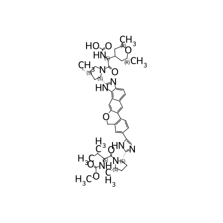 CC[C@H]1C[C@@H](c2nc3ccc4cc5c(cc4c3[nH]2)OCc2cc(-c3cnc([C@@H]4CC[C@H](C)N4C(=O)[C@@H](NC(=O)OC)C(C)C)[nH]3)ccc2-5)N(C(=O)[C@@H](NC(=O)O)C2C[C@@H](C)O[C@H](C)C2)C1